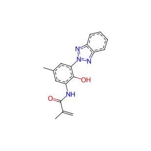 C=C(C)C(=O)Nc1cc(C)cc(-n2nc3ccccc3n2)c1O